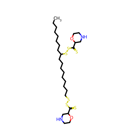 CCCCCCCCC(CCCCCCCCCSSC(=S)C1CNCCO1)SSC(=S)C1CNCCO1